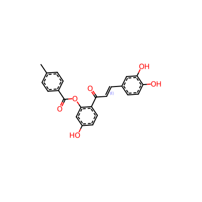 Cc1ccc(C(=O)Oc2cc(O)ccc2C(=O)/C=C/c2ccc(O)c(O)c2)cc1